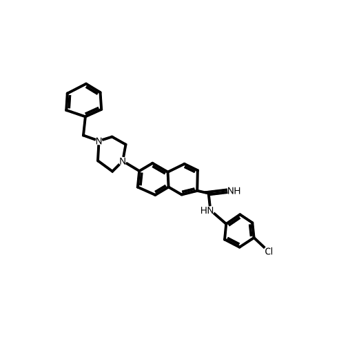 N=C(Nc1ccc(Cl)cc1)c1ccc2cc(N3CCN(Cc4ccccc4)CC3)ccc2c1